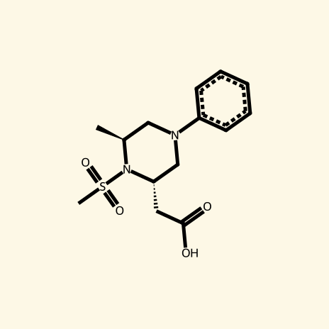 C[C@H]1CN(c2ccccc2)C[C@H](CC(=O)O)N1S(C)(=O)=O